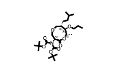 CCCO[C@@H]1[C@@H](CCC(C)C)COC[C@H](N(C(=O)OC(C)(C)C)C(=O)OC(C)(C)C)C(=O)O[C@H]1C